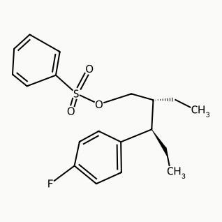 CC[C@@H](COS(=O)(=O)c1ccccc1)[C@@H](CC)c1ccc(F)cc1